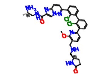 COc1nc(-c2cccc(-c3cccc(-c4ccc5nc(C(=O)NC[C@H](C)N)cn5n4)c3Cl)c2Cl)ccc1CNC[C@H]1CCC(=O)N1